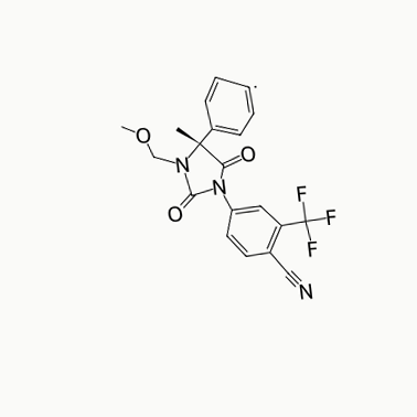 COCN1C(=O)N(c2ccc(C#N)c(C(F)(F)F)c2)C(=O)[C@@]1(C)c1cc[c]cc1